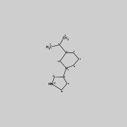 CC(C)C1CCCN(C2CCNC2)C1